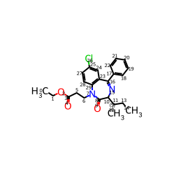 CCOC(=O)CCN1C(=O)C([C@@H](C)CC)N=C(c2ccccc2)c2cc(Cl)ccc21